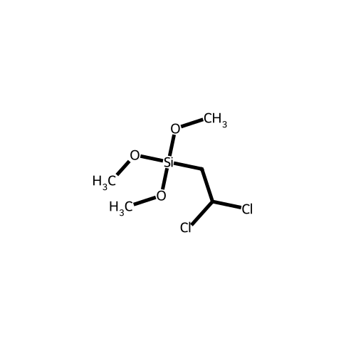 CO[Si](CC(Cl)Cl)(OC)OC